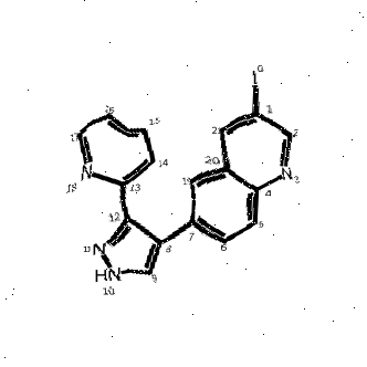 Ic1cnc2ccc(-c3c[nH]nc3-c3ccccn3)cc2c1